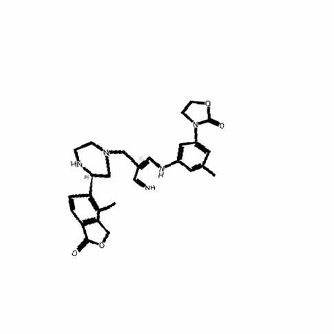 Cc1cc(N/C=C(\C=N)CN2CCN[C@H](c3ccc4c(c3C)COC4=O)C2)cc(N2CCOC2=O)c1